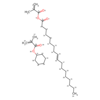 C=C(C)C(=O)OC(=O)CCCCCCCC=CCCCCCCCC.C=C(C)C(=O)OC1CCCCC1